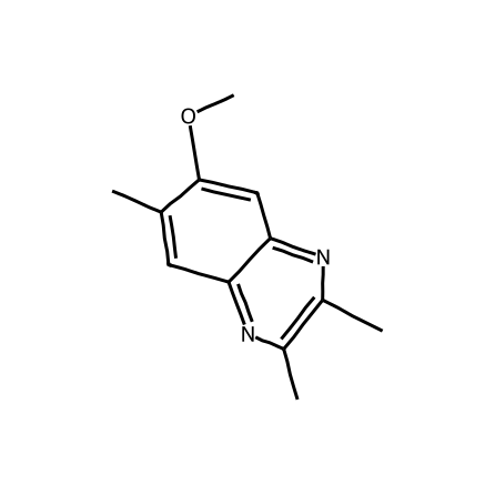 COc1cc2nc(C)c(C)nc2cc1C